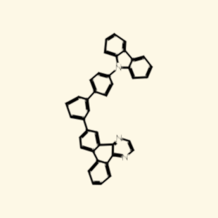 c1cc(-c2ccc(-n3c4ccccc4c4ccccc43)cc2)cc(-c2ccc3c4ccccc4c4nccnc4c3c2)c1